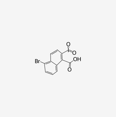 O=C(O)c1c(I(=O)=O)ccc2c(Br)cccc12